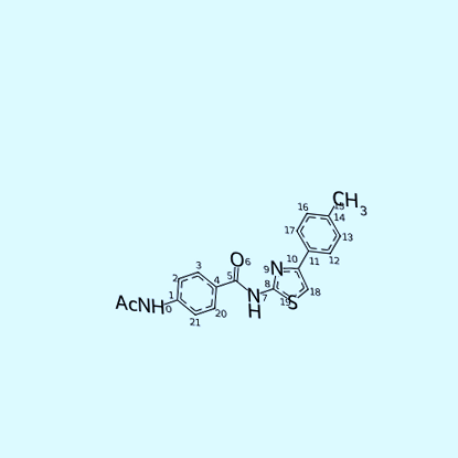 CC(=O)Nc1ccc(C(=O)Nc2nc(-c3ccc(C)cc3)cs2)cc1